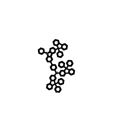 c1ccc(-n2c3ccc(-c4ccc(N(c5ccc6c(c5)C(c5ccccc5)(c5ccccc5)c5ccccc5-6)c5ccc6c(c5)C(c5ccccc5)(c5ccccc5)c5ccccc5-6)cc4)cc3c3cc(C4(c5ccccc5)c5ccccc5-c5ccccc54)ccc32)cc1